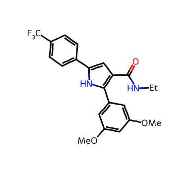 CCNC(=O)c1cc(-c2ccc(C(F)(F)F)cc2)[nH]c1-c1cc(OC)cc(OC)c1